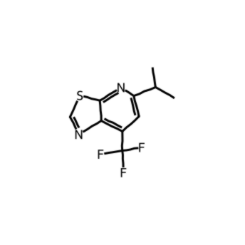 CC(C)c1cc(C(F)(F)F)c2ncsc2n1